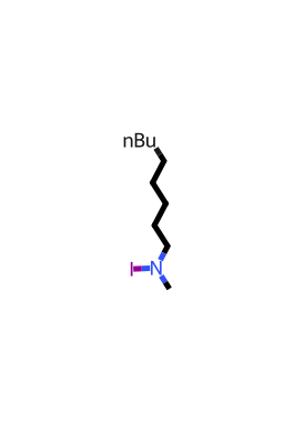 CCCCCCCCCN(C)I